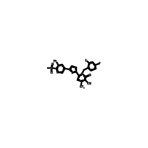 CC(C)c1cc(-c2ccc(-c3cc(C(F)(F)F)c(C#N)c(=O)n3Cc3ccc(F)cc3F)s2)cnc1S(C)(=O)=O